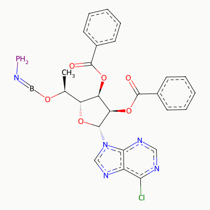 C[C@H](OB=NP)[C@H]1O[C@@H](n2cnc3c(Cl)ncnc32)[C@H](OC(=O)c2ccccc2)[C@@H]1OC(=O)c1ccccc1